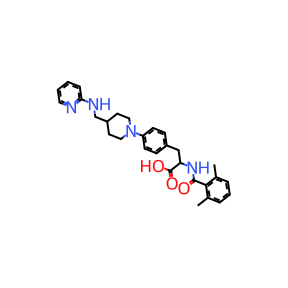 Cc1cccc(C)c1C(=O)NC(Cc1ccc(N2CCC(CNc3ccccn3)CC2)cc1)C(=O)O